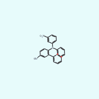 CC(C)(C)c1ccc(N(c2ccccc2)c2cccc([N+](=O)[O-])c2)c(-c2ccccc2)c1